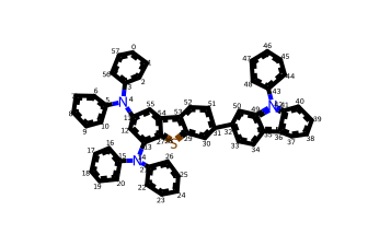 c1ccc(N(c2ccccc2)c2cc(N(c3ccccc3)c3ccccc3)c3sc4cc(-c5ccc6c7ccccc7n(-c7ccccc7)c6c5)ccc4c3c2)cc1